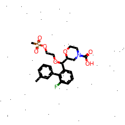 Cc1cccc(-c2c(F)cccc2C(OCCOS(C)(=O)=O)C2CN(C(=O)O)CCO2)c1